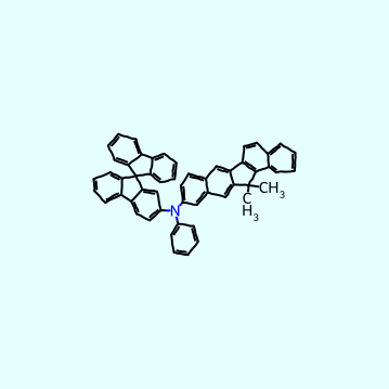 CC1(C)c2cc3cc(N(c4ccccc4)c4ccc5c(c4)C4(c6ccccc6-c6ccccc64)c4ccccc4-5)ccc3cc2-c2ccc3ccccc3c21